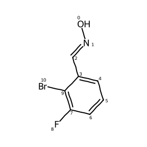 ON=Cc1cccc(F)c1Br